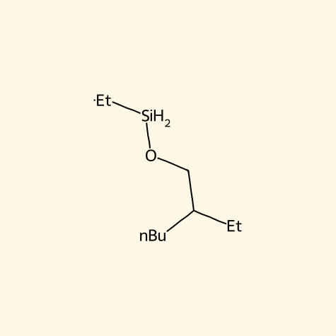 C[CH][SiH2]OCC(CC)CCCC